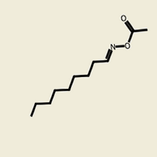 CCCCCCCCC=NOC(C)=O